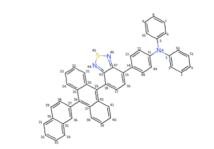 c1ccc(N(c2ccccc2)c2ccc(-c3ccc(-c4c5ccccc5c(-c5ccc6ccccc6c5)c5ccccc45)c4nsnc34)cc2)cc1